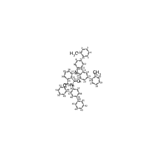 Cc1ccccc1-c1ccc2c(c1)c1cc(-c3ccccc3C)ccc1n2-c1cccc2c1C(=O)N(c1ccc(-c3ccccc3)cc1-c1ccccc1)C2=O